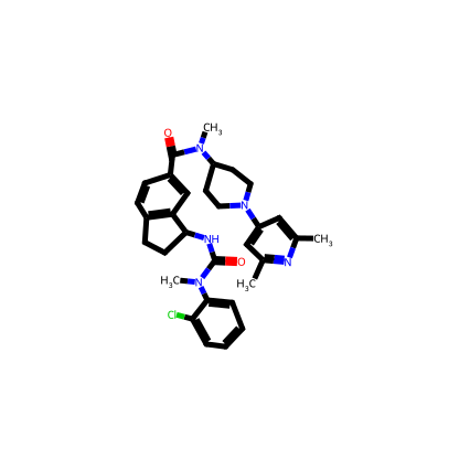 Cc1cc(N2CCC(N(C)C(=O)c3ccc4c(c3)C(NC(=O)N(C)c3ccccc3Cl)CC4)CC2)cc(C)n1